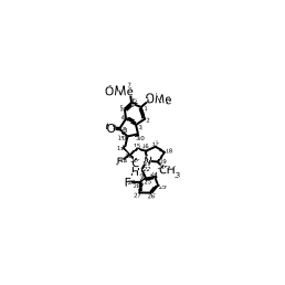 COc1cc2c(cc1OC)C(=O)C(CC(C)(F)CC1CCC(C)N1Cc1ccccc1F)C2